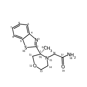 C[C@@]1(c2nc3ccccc3s2)COCCN1CC(N)=O